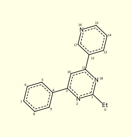 CCc1nc(-c2ccccc2)cc(-c2cccnc2)n1